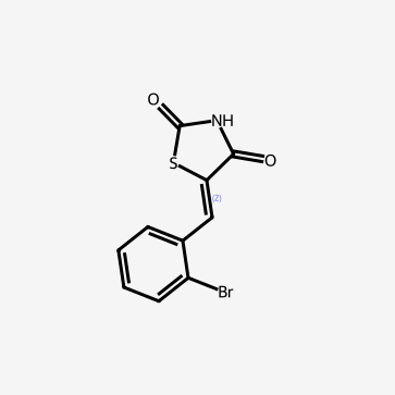 O=C1NC(=O)/C(=C/c2ccccc2Br)S1